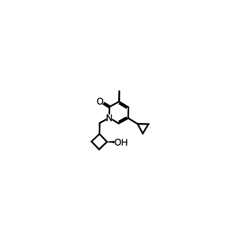 Cc1cc(C2CC2)cn(CC2CC[C@@H]2O)c1=O